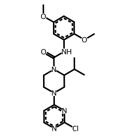 COc1ccc(OC)c(NC(=O)N2CCN(c3ccnc(Cl)n3)CC2C(C)C)c1